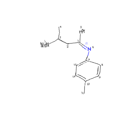 CCC/C(CC(C)NC)=N/c1ccc(C)cc1